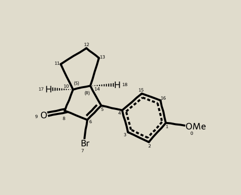 COc1ccc(C2=C(Br)C(=O)[C@H]3CCC[C@@H]23)cc1